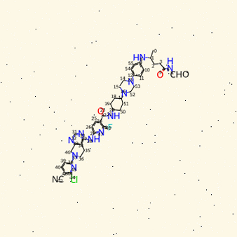 CC(CCC(=O)NC=O)Nc1ccc(N2CCN(C3CCC(NC(=O)c4ccc(Nc5ncnc6c5CCN(c5ccc(C#N)c(Cl)n5)C6)nc4F)CC3)CC2)cc1